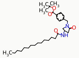 CCCCCCCCCCCCCCC(=O)NC1CC(=O)N(Cc2ccc(C(=O)OC(C)(C)C)cc2)C1